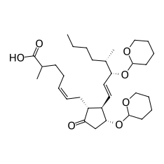 CCCC[C@H](C)[C@@H](/C=C/[C@H]1[C@H](OC2CCCCO2)CC(=O)[C@@H]1C/C=C\CCC(C)C(=O)O)OC1CCCCO1